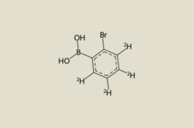 [2H]c1c([2H])c([2H])c(B(O)O)c(Br)c1[2H]